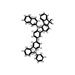 CC1(C)c2ccccc2-c2c1ccc1c3cc(-c4ccc5c(c4)c4ccccc4n5-c4ccccc4)ccc3n(-c3ccc4ccccc4c3)c21